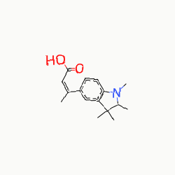 C/C(=C/C(=O)O)c1ccc2c(c1)C(C)(C)C(C)N2C